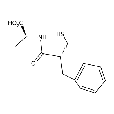 C[C@H](NC(=O)[C@H](CS)Cc1ccccc1)C(=O)O